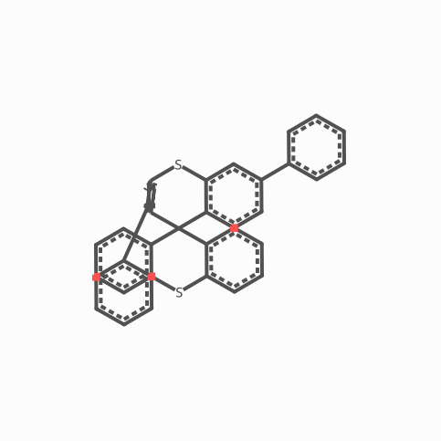 c1ccc(-c2ccc3c(c2)Sc2cccc(-c4ccccc4)c2C32c3ccccc3Sc3ccccc32)cc1